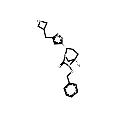 O=C1N2C[C@@H](CC[C@H]2c2cc(CC3CNC3)on2)N1OCc1ccccc1